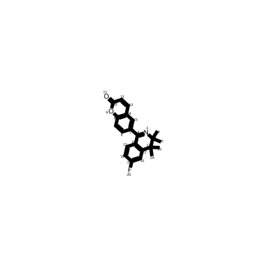 CC1(C)N=C(c2ccc3oc(=O)ccc3c2)c2ccc(F)cc2C1(C)C